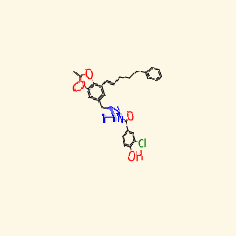 CC1Oc2cc(/C=N/NC(=O)c3ccc(O)c(Cl)c3)cc(/C=C/CCCc3ccccc3)c2O1